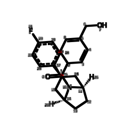 O=C(C1C=CC(CO)=CC1)N1[C@@H]2CC[C@H]1C[C@@H](c1ccc(F)cc1)C2